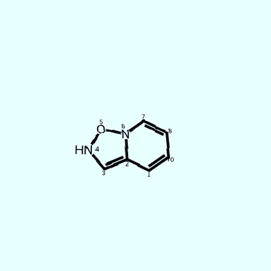 [C]1=CC2=CNON2C=C1